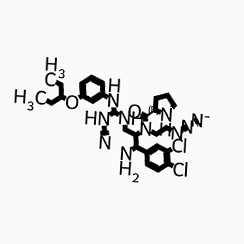 CCC(CC)Oc1cccc(NC(NC#N)NCC(C(N)c2ccc(Cl)c(Cl)c2)N(CCN=[N+]=[N-])C(=O)[C@H]2CCCN2)c1